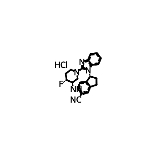 Cl.N#Cc1ccc2c(c1)CC[C@H]2n1c(N2CC[C@@H](F)[C@H](N)C2)nc2ccccc21